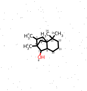 CC1CC23CC1(C)C(O)C2CCCC3(C)C